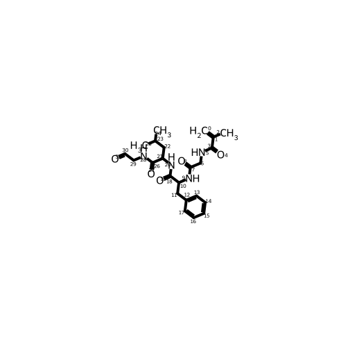 C=C(C)C(=O)NCC(=O)NC(Cc1ccccc1)C(=O)NC(CC(C)C)C(=O)NCC=O